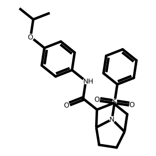 CC(C)Oc1ccc(NC(=O)C2CCC3CCC2N3S(=O)(=O)c2ccccc2)cc1